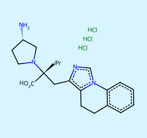 CC(C)[C@@](Cc1ncn2c1CCc1ccccc1-2)(C(=O)O)N1CC[C@H](N)C1.Cl.Cl.Cl